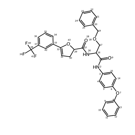 O=C(Nc1ccc(Oc2ccccc2)cc1)C(COCc1ccccc1)NC(=O)C1CC=C(c2cccc(C(F)(F)F)c2)O1